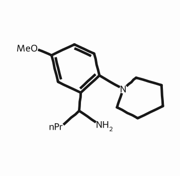 CCCC(N)c1cc(OC)ccc1N1CCCCC1